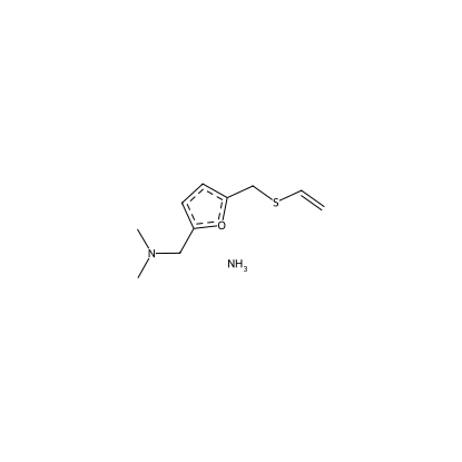 C=CSCc1ccc(CN(C)C)o1.N